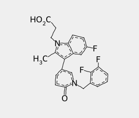 Cc1c(-c2ccc(=O)n(Cc3cccc(F)c3F)c2)c2cc(F)ccc2n1CCC(=O)O